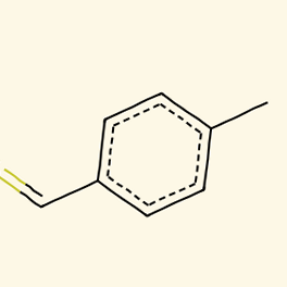 Cc1ccc(C=S)cc1